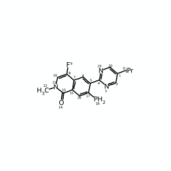 CC(C)c1cnc(-c2cc3c(F)cn(C)c(=O)c3cc2P)nc1